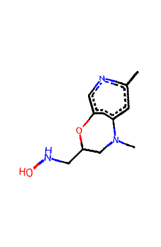 Cc1cc2c(cn1)OC(CNO)CN2C